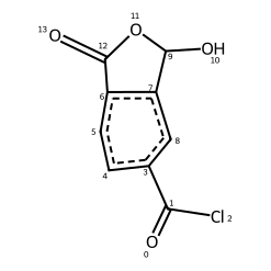 O=C(Cl)c1ccc2c(c1)C(O)OC2=O